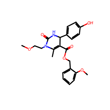 COCCN1C(=O)NC(c2ccc(O)cc2)C(C(=O)OCc2ccccc2OC)=C1C